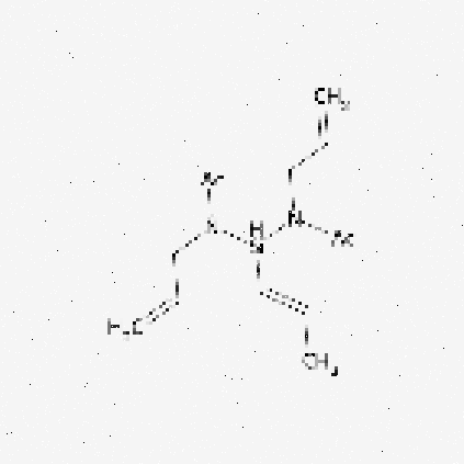 C=CCN(C(C)=O)[SiH](C=CC)N(CC=C)C(C)=O